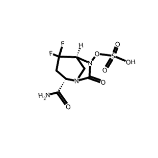 NC(=O)[C@@H]1CC(F)(F)[C@@H]2CN1C(=O)N2OS(=O)(=O)O